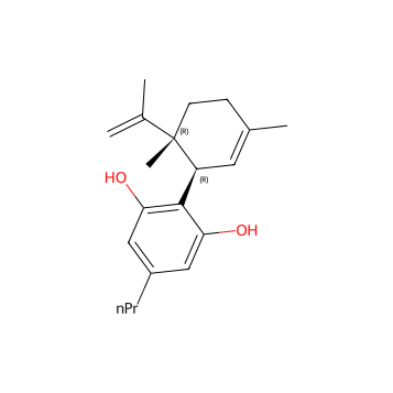 C=C(C)[C@]1(C)CCC(C)=C[C@H]1c1c(O)cc(CCC)cc1O